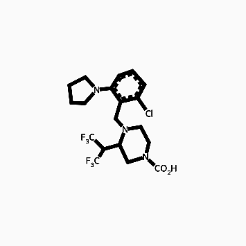 O=C(O)N1CCN(Cc2c(Cl)cccc2N2CCCC2)C(C(C(F)(F)F)C(F)(F)F)C1